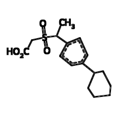 CC(c1ccc(C2CCCCC2)cc1)S(=O)(=O)CC(=O)O